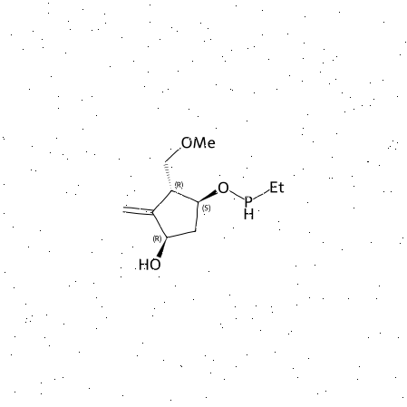 C=C1[C@H](O)C[C@H](OPCC)[C@H]1COC